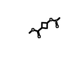 COC(=O)C1CC(OS(C)=O)C1